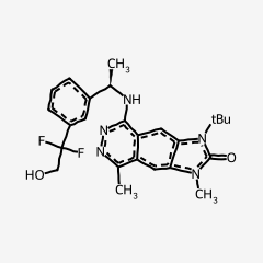 Cc1nnc(N[C@H](C)c2cccc(C(F)(F)CO)c2)c2cc3c(cc12)n(C)c(=O)n3C(C)(C)C